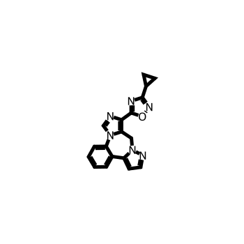 c1ccc2c(c1)-c1ccnn1Cc1c(-c3nc(C4CC4)no3)ncn1-2